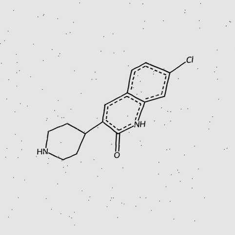 O=c1[nH]c2cc(Cl)ccc2cc1C1CCNCC1